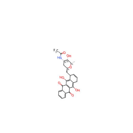 C[C@@H]1O[C@@H](CC2C=CCc3c(O)c4c(c(O)c32)C(=O)c2ccccc2C4=O)C[C@H](NC(=O)C(F)(F)F)[C@@H]1O